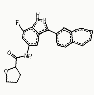 O=C(Nc1cc(F)c2[nH]nc(-c3ccc4ccccc4c3)c2c1)C1CCCO1